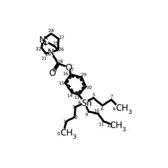 CCC[CH2][Sn]([CH2]CCC)([CH2]CCC)[c]1ccc(OC(=O)N2CCN3CCC2CC3)cc1